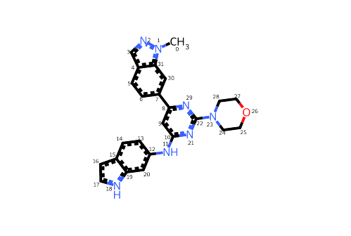 Cn1ncc2ccc(-c3cc(Nc4ccc5cc[nH]c5c4)nc(N4CCOCC4)n3)cc21